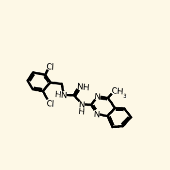 Cc1nc(NC(=N)NCc2c(Cl)cccc2Cl)nc2ccccc12